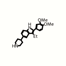 CCc1c(-c2ccc(OC)c(OC)c2)[nH]c2ccc(C3CCNCC3)cc12